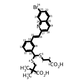 CC(C)(CSC(SCCC(=O)O)c1cccc(C=Cc2ccc3ccc(Br)cc3n2)c1)C(=O)O